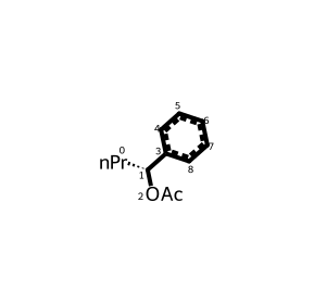 CCC[C@@H](OC(C)=O)c1ccccc1